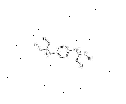 CCOC(OCC)[SiH2]c1ccc([SiH2]C(OCC)OCC)cc1